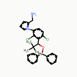 CC(C)(C)C(O[SiH](c1ccccc1)c1ccccc1)c1c(Cl)ccc(-n2cccc2CN)c1Cl